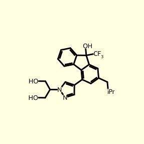 CC(C)Cc1cc(-c2cnn(C(CO)CO)c2)c2c(c1)C(O)(C(F)(F)F)c1ccccc1-2